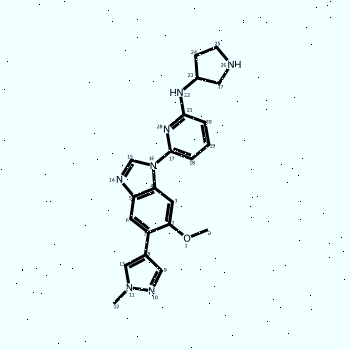 COc1cc2c(cc1-c1cnn(C)c1)ncn2-c1cccc(NC2CCNC2)n1